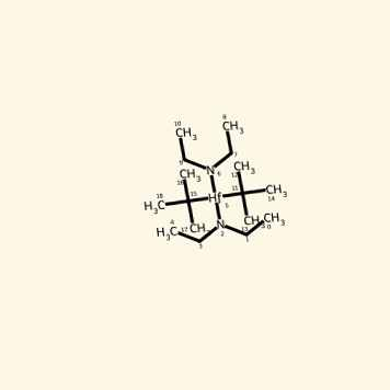 CC[N](CC)[Hf]([N](CC)CC)([C](C)(C)C)[C](C)(C)C